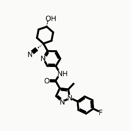 Cc1c(C(=O)Nc2ccc([C@]3(C#N)CC[C@@H](O)CC3)nc2)cnn1-c1ccc(F)cc1